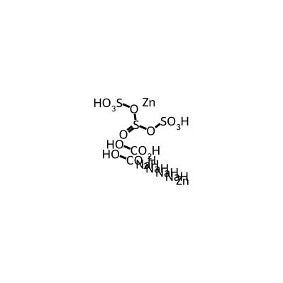 O=C(O)O.O=C(O)O.O=S(OS(=O)(=O)O)OS(=O)(=O)O.[NaH].[NaH].[NaH].[NaH].[Zn].[Zn]